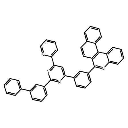 c1ccc(-c2cccc(-c3nc(-c4cccc(-c5nc6ccccc6c6c5ccc5ccccc56)c4)cc(-c4ccccn4)n3)c2)cc1